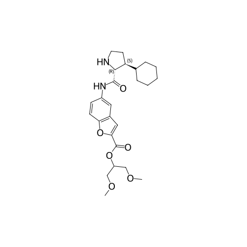 COCC(COC)OC(=O)c1cc2cc(NC(=O)[C@@H]3NCC[C@H]3C3CCCCC3)ccc2o1